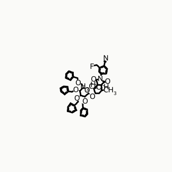 CC12C[C@@H](O[C@H]3O[C@H](COCc4ccccc4)[C@@H](OCc4ccccc4)[C@H](OCc4ccccc4)[C@H]3OCc3ccccc3)C(C)(O1)[C@H]1C(=O)N(c3ccc(C#N)c(CF)c3)C(=O)[C@H]12